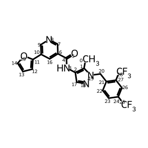 Cc1c(NC(=O)c2cncc(-c3ccco3)c2)cnn1Cc1ccc(C(F)(F)F)cc1C(F)(F)F